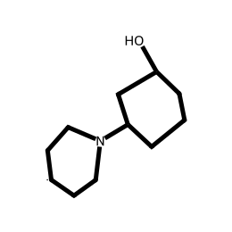 OC1CCCC(N2CC[CH]CC2)C1